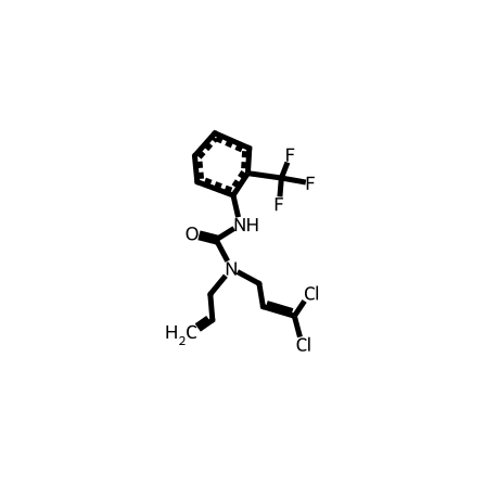 C=CCN(CC=C(Cl)Cl)C(=O)Nc1ccccc1C(F)(F)F